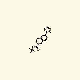 CC(C)(C)OC(=O)N1CCc2cc(-c3nccs3)ccc2C1